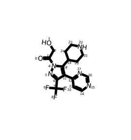 O=C(CO)n1nc(C(F)(F)F)c(-c2ccncn2)c1C1CCNCC1